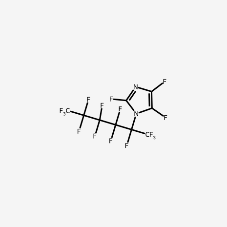 Fc1nc(F)n(C(F)(C(F)(F)F)C(F)(F)C(F)(F)C(F)(F)C(F)(F)F)c1F